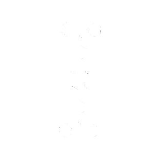 C1=CC2Oc3ccccc3N(C3=CC=C(C4=NC5NC(C6=CC=C(N7c8ccccc8OC8C=CC=CC87)CC6)NC5=N4)CC3)C2C=C1